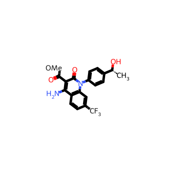 COC(=O)c1c(N)c2ccc(C(F)(F)F)cc2n(-c2ccc([C@@H](C)O)cc2)c1=O